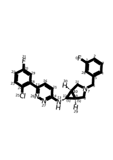 Fc1cccc(CN2C[C@@H]3[C@H](C2)[C@H]3Nc2ccc(-c3cc(F)ccc3Cl)nn2)c1